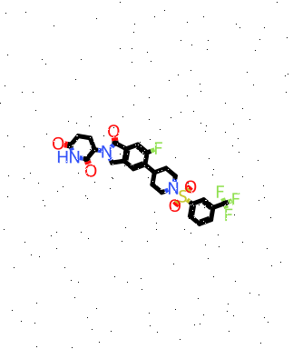 O=C1CCC(N2Cc3cc(C4CCN(S(=O)(=O)c5cccc(C(F)(F)F)c5)CC4)c(F)cc3C2=O)C(=O)N1